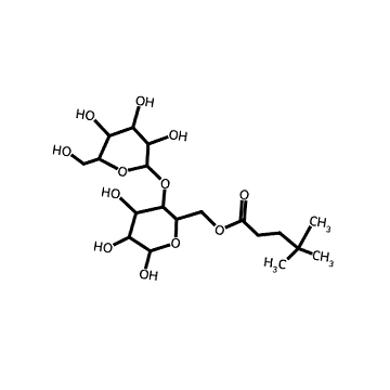 CC(C)(C)CCC(=O)OCC1OC(O)C(O)C(O)C1OC1OC(CO)C(O)C(O)C1O